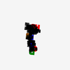 CC(C)(C)c1cc(-c2nc(C3CCN(C(=O)CCl)CC3)cs2)cc(C(C)(C)C)c1O